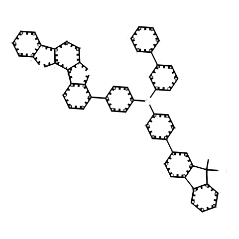 CC1(C)c2ccccc2-c2ccc(-c3ccc(N(c4ccc(-c5cccc6c5sc5ccc7c8ccccc8sc7c56)cc4)c4cccc(-c5ccccc5)c4)cc3)cc21